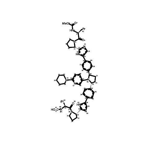 COC(=O)N[C@H](C(=O)N1CCC[C@H]1c1ncc(-c2ccc([C@H]3CC[C@H](c4ccc(-c5cnc([C@@H]6CCCN6C(=O)[C@@H](NC(=O)O)C(C)C)[nH]5)cc4)N3c3ccc(N4CCCCC4)nc3)cc2)[nH]1)C(C)C